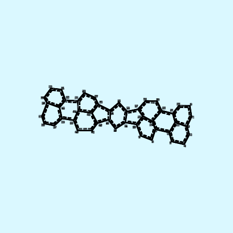 c1cc2cccc3c4ccc5c6cc7c(cc6c6ccc(c(c1)c23)c4c65)c1ccc2c3cccc4cccc(c5ccc7c1c25)c43